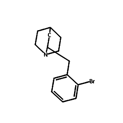 Brc1ccccc1CC1CC2CCN1CC2